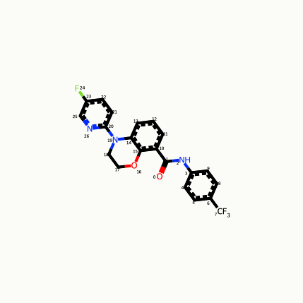 O=C(Nc1ccc(C(F)(F)F)cc1)c1cccc2c1OCCN2c1ccc(F)cn1